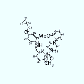 COc1ccccc1N1CCN(C(=O)c2cc(SNc3ccc(OCC4CC4)cc3)ccc2C)CC1